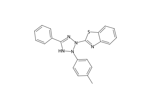 Cc1ccc(N2NC(c3ccccc3)=NN2c2nc3ccccc3s2)cc1